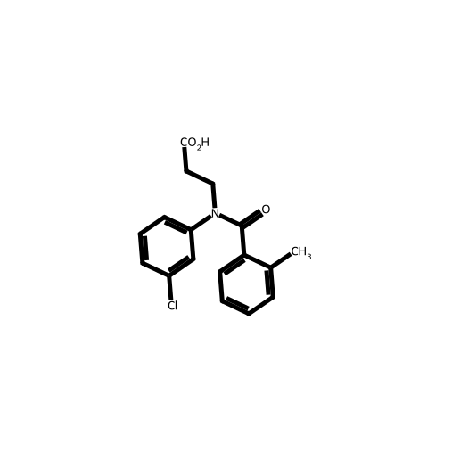 Cc1ccccc1C(=O)N(CCC(=O)O)c1cccc(Cl)c1